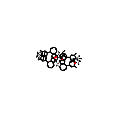 CCC1=CC2=C(C=CC=CC2c2cc(C)c([Si](C)(C)C)c(C)c2)[C]12[SiH](C)[C]1(C(CC)=CC3=C1C=CC=CC3c1cc(C)c([Si](C)(C)C)c(C)c1)[Hf]21([Cl])([Cl])[C]2(C(CC)=CC3=C2C=CC=CC3c2cc(C)c([Si](C)(C)C)c(C)c2)[SiH](C)[C]12C(CC)=CC1=C2C=CC=CC1c1cc(C)c([Si](C)(C)C)c(C)c1